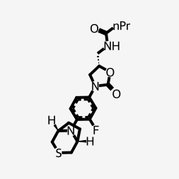 CCCC(=O)NC[C@H]1CN(c2ccc(N3[C@@H]4CC[C@H]3CSC4)c(F)c2)C(=O)O1